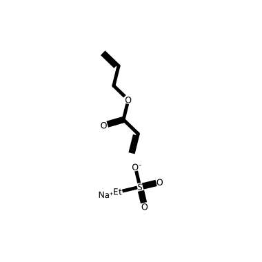 C=CCOC(=O)C=C.CCS(=O)(=O)[O-].[Na+]